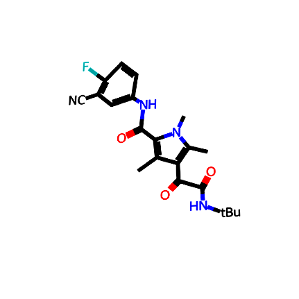 Cc1c(C(=O)C(=O)NC(C)(C)C)c(C)n(C)c1C(=O)Nc1ccc(F)c(C#N)c1